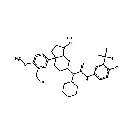 COc1ccc(C23CCC(N(C(=O)Nc4ccc(Cl)c(C(F)(F)F)c4)C4CCCCC4)CC2N(C)CC3)cc1OC.Cl